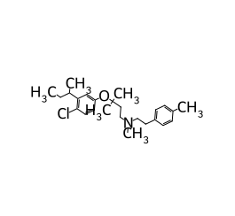 CCC(C)c1cc(OC(C)(C)CCN(C)CCc2ccc(C)cc2)ccc1Cl